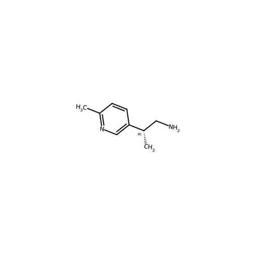 Cc1ccc([C@@H](C)CN)cn1